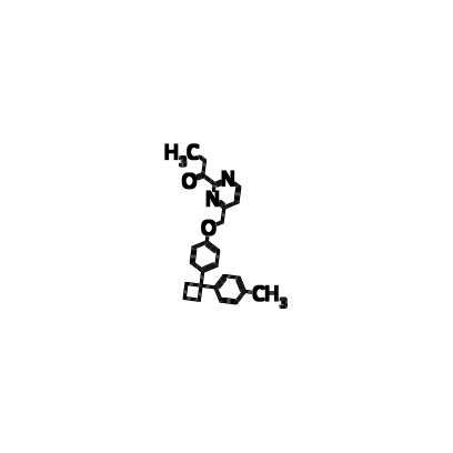 CCC(=O)c1nccc(COc2ccc(C3(c4ccc(C)cc4)CCC3)cc2)n1